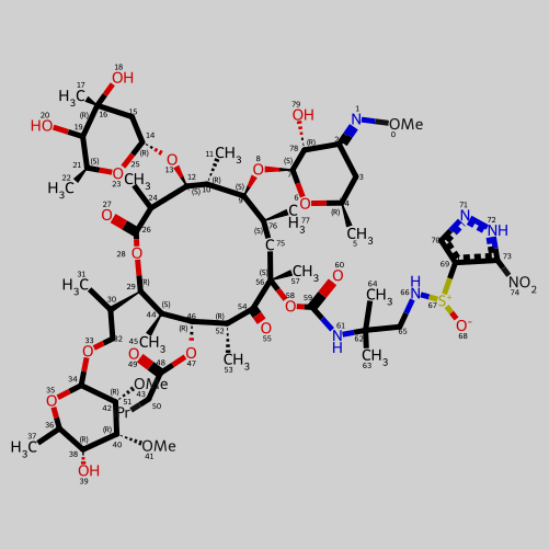 CON=C1C[C@@H](C)O[C@@H](O[C@@H]2[C@@H](C)[C@H](O[C@H]3C[C@@](C)(O)C(O)[C@H](C)O3)C(C)C(=O)O[C@H](C(C)COC3OC(C)[C@@H](O)[C@@H](OC)[C@H]3OC)[C@H](C)[C@@H](OC(=O)CC(C)C)[C@@H](C)C(=O)[C@@](C)(OC(=O)NC(C)(C)CN[S+]([O-])c3cn[nH]c3[N+](=O)[O-])C[C@@H]2C)[C@@H]1O